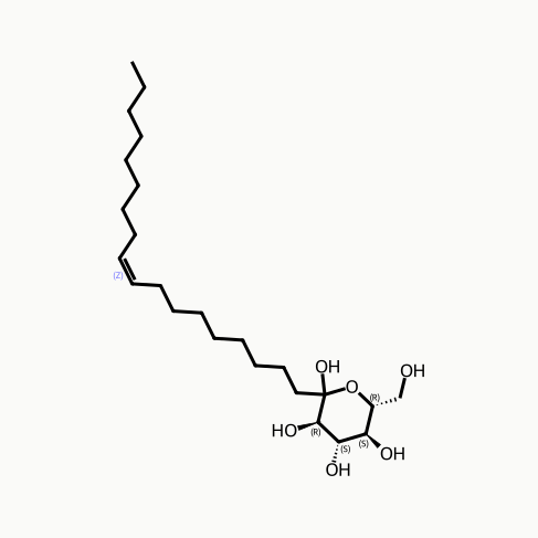 CCCCCCCC/C=C\CCCCCCCCC1(O)O[C@H](CO)[C@@H](O)[C@H](O)[C@H]1O